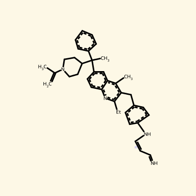 C=C(C)N1CCC(C(C)(c2ccccc2)c2ccc3nc(CC)c(Cc4ccc(N/C=C\C=N)cc4)c(C)c3c2)CC1